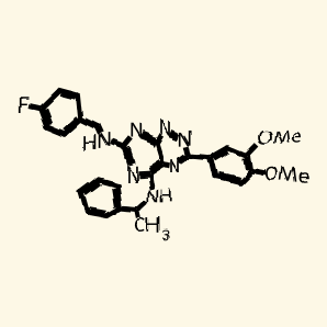 COc1ccc(-c2nnc3nc(NCc4ccc(F)cc4)nc(NC(C)c4ccccc4)c3n2)cc1OC